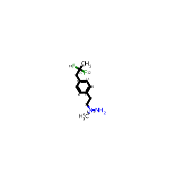 CN(N)CCc1ccc(CC(C)(F)F)cc1